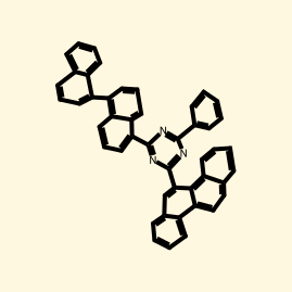 c1ccc(-c2nc(-c3cccc4c(-c5cccc6ccccc56)cccc34)nc(-c3cc4ccccc4c4ccc5ccccc5c34)n2)cc1